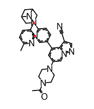 CC(=O)N1CCN(c2cc(-c3ccc(N4CC5CC(C4)N5Cc4ccc(C)nc4)nc3)c3c(C#N)cnn3c2)CC1